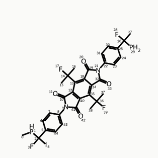 CPC(F)(I)c1ccc(-n2c(=O)c3c(C(C)(C)F)c4c(=O)n(-c5ccc(C(C)(F)P)cc5)c(=O)c4c(C(C)(C)F)c3c2=O)cc1